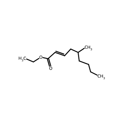 CCCCC(C)C/C=C/C(=O)OCC